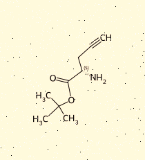 C#CC[C@H](N)C(=O)OC(C)(C)C